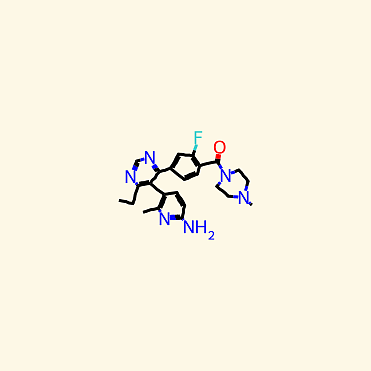 CCc1ncnc(-c2ccc(C(=O)N3CCN(C)CC3)c(F)c2)c1-c1ccc(N)nc1C